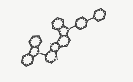 c1ccc(-c2ccc(-n3c4ccccc4c4c5sc6c(-n7c8ccccc8c8ccccc87)ncnc6c5ccc43)cc2)cc1